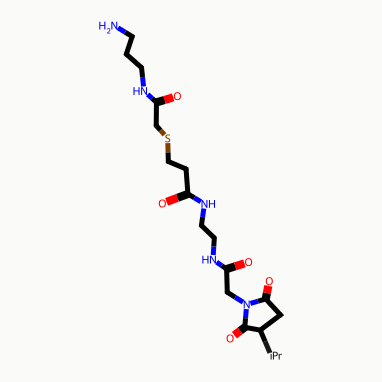 CC(C)C1CC(=O)N(CC(=O)NCCNC(=O)CCSCC(=O)NCCCN)C1=O